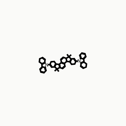 CC1(C)C2=C(CCC(n3c4c(c5ccccc53)CCC=C4)=C2)c2c1ccc1c2C=CC2C1C1=C(C=C(n3c4c(c5ccccc53)CCC=C4)CC1)C2(C)C